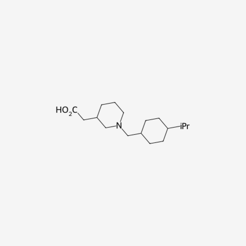 CC(C)C1CCC(CN2CCCC(CC(=O)O)C2)CC1